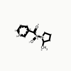 CC1CCCN1[N+](=O)C(=O)c1cccnc1